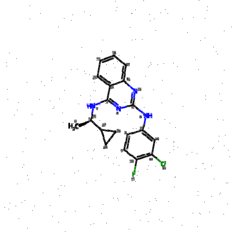 C[C@@H](Nc1nc(Nc2ccc(F)c(Cl)c2)nc2ccccc12)C1CC1